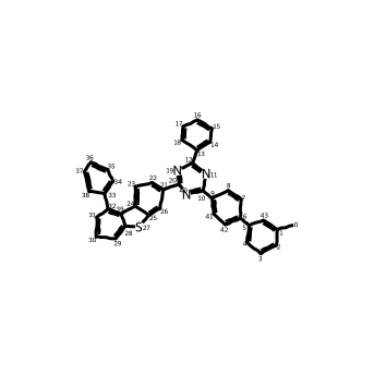 Cc1cccc(-c2ccc(-c3nc(-c4ccccc4)nc(-c4ccc5c(c4)sc4cccc(-c6ccccc6)c45)n3)cc2)c1